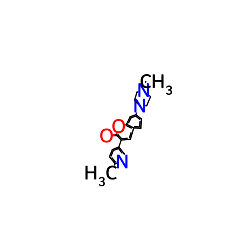 Cc1ccc(-c2cc3ccc(N4CCN(C)CC4)cc3oc2=O)cn1